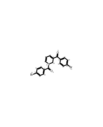 O=C(C1=CC=CN(C(=O)c2ccc(Br)cc2)C1)c1ccc(Br)cc1